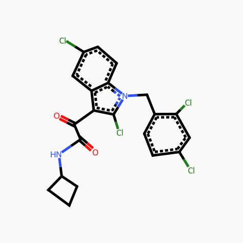 O=C(NC1CCC1)C(=O)c1c(Cl)n(Cc2ccc(Cl)cc2Cl)c2ccc(Cl)cc12